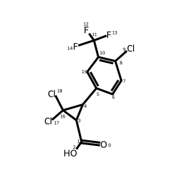 O=C(O)C1C(c2ccc(Cl)c(C(F)(F)F)c2)C1(Cl)Cl